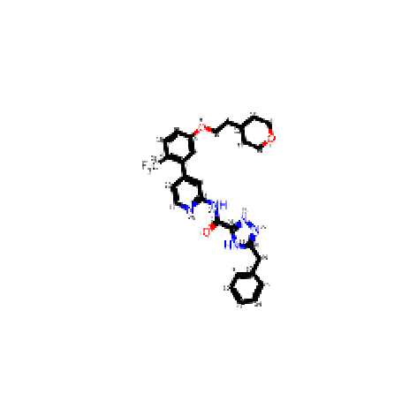 O=C(Nc1cc(-c2cc(OCCC3CCOCC3)ccc2C(F)(F)F)ccn1)c1nnc(Cc2ccccc2)[nH]1